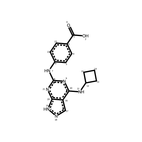 O=C(O)c1ccc(Nc2nc(NC3CCC3)c3cn[nH]c3n2)cc1